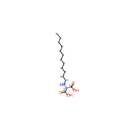 CCCCCCCCCCCCNC(C(=O)O)C(=O)O